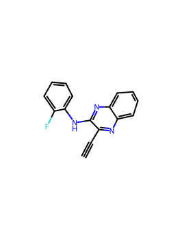 C#Cc1nc2ccccc2nc1Nc1ccccc1F